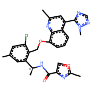 Cc1cc(Cl)c(COc2cccc3c(-c4ncnn4C)cc(C)nc23)c([C@H](C)NC(=O)c2coc(C)n2)c1